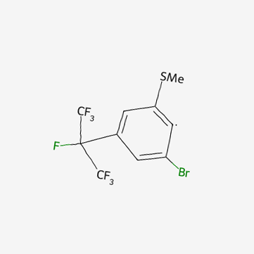 CSc1[c]c(Br)cc(C(F)(C(F)(F)F)C(F)(F)F)c1